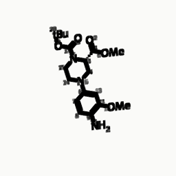 COC(=O)[C@@H]1CN(c2ccc(N)c(OC)c2)CCN1C(=O)OC(C)(C)C